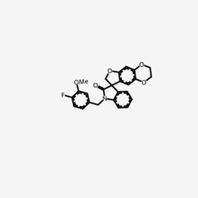 COc1cc(CN2C(=O)C3(COc4cc5c(cc43)OCCO5)c3ccccc32)ccc1F